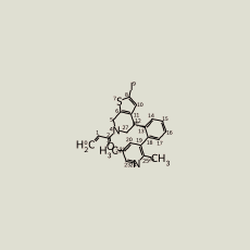 C=CC(=O)N1Cc2sc(I)cc2[C@@H](c2ccccc2-c2cc(C)cnc2C)C1